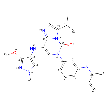 C=CC(=C)Nc1cccc(-n2cc(Nc3cn(C)nc3OC)c3ncc(C(C)C)n3c2=O)c1